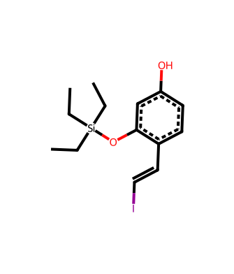 CC[Si](CC)(CC)Oc1cc(O)ccc1C=CI